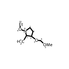 [CH2]C1C(OCOC)CCN1OCC